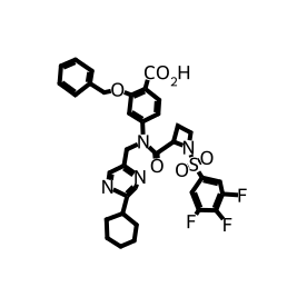 O=C(O)c1ccc(N(Cc2cnc(C3CCCCC3)cn2)C(=O)C2CCN2S(=O)(=O)c2cc(F)c(F)c(F)c2)cc1OCc1ccccc1